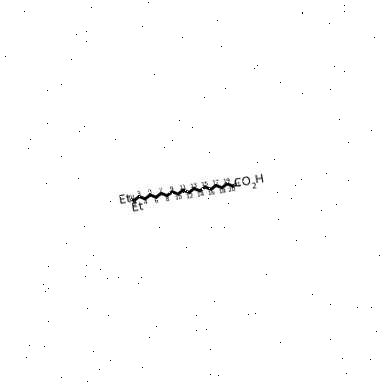 CCC(CC)CCCCCCCCCCCCCCCCCCC(=O)O